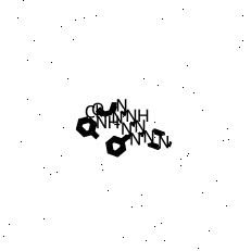 Cc1cccc(Cl)c1NC(=O)c1cnc(Nc2nc(-c3ccccc3)nc(N3CCN(C)CC3)n2)n1C